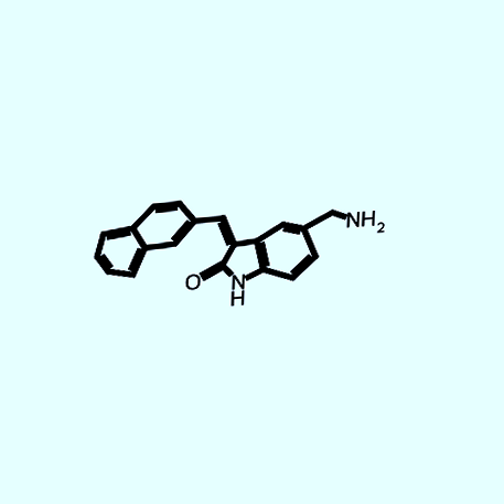 NCc1ccc2c(c1)C(=Cc1ccc3ccccc3c1)C(=O)N2